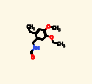 CCOc1cc(CNC=O)c(CC)cc1OC